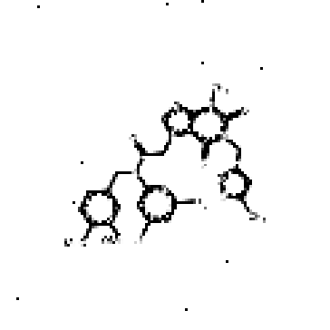 CCc1cc(N(Cc2ccc(OC)c(OC)c2)C(=O)Cn2cnc3c2c(=O)n(Cc2cc(C)on2)c(=O)n3C)nc(C(F)(F)F)c1